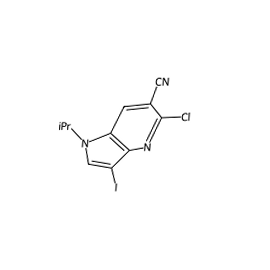 CC(C)n1cc(I)c2nc(Cl)c(C#N)cc21